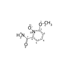 COc1cc[c]c(C(N)=O)[n+]1[O-]